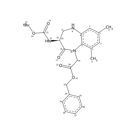 Cc1cc(C)c2c(c1)NC[C@H](NC(=O)OC(C)(C)C)C(=O)N2CC(=O)OCc1ccccc1